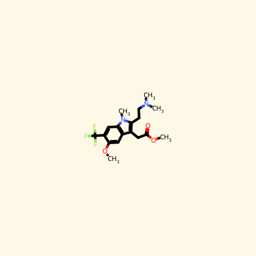 COC(=O)Cc1c(CCN(C)C)n(C)c2cc(C(F)(F)F)c(OC)cc12